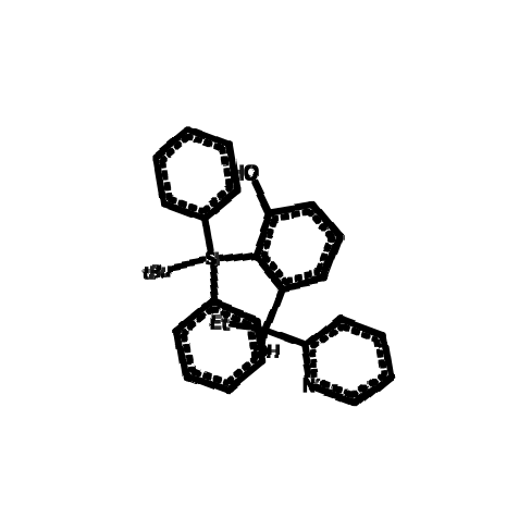 CCC(O)(c1ccccn1)c1cccc(O)c1[Si](c1ccccc1)(c1ccccc1)C(C)(C)C